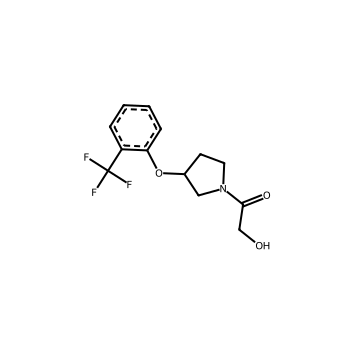 O=C(CO)N1CCC(Oc2ccccc2C(F)(F)F)C1